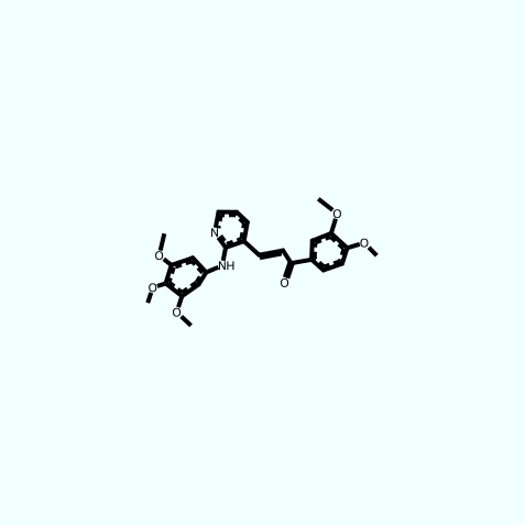 COc1ccc(C(=O)C=Cc2cccnc2Nc2cc(OC)c(OC)c(OC)c2)cc1OC